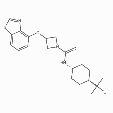 CC(C)(O)[C@H]1CC[C@H](NC(=O)N2CC(Oc3cccc4scnc34)C2)CC1